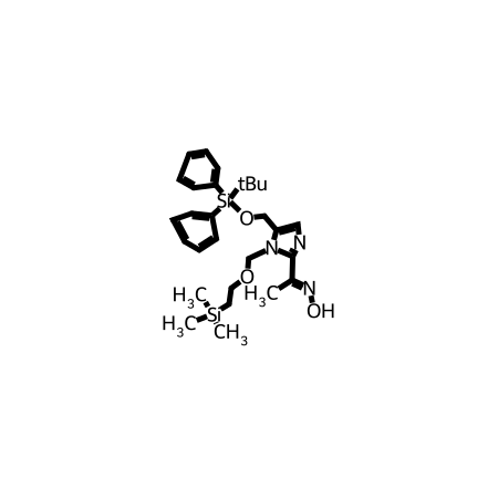 CC(=NO)c1ncc(CO[Si](c2ccccc2)(c2ccccc2)C(C)(C)C)n1COCC[Si](C)(C)C